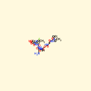 C=Cc1ccccc1N(Cc1ccccc1CC)C(=O)CCNC(=O)C12CC(CNC(=O)CCOCCC(=O)NC(C(=O)NC(CCCCN)C(=O)NCC(=O)NC3CCc4c(C)c(F)cc5nc6c(c3c45)Cn3c-6cc4c(c3=O)COC(=O)C4(O)CC)C(C)C)(C1)C2